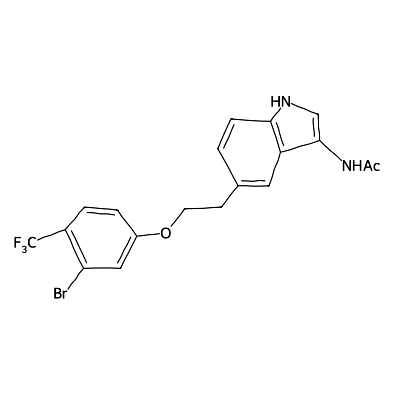 CC(=O)Nc1c[nH]c2ccc(CCOc3ccc(C(F)(F)F)c(Br)c3)cc12